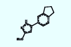 COc1cc(-c2ccc3c(c2)CCC3)[nH]n1